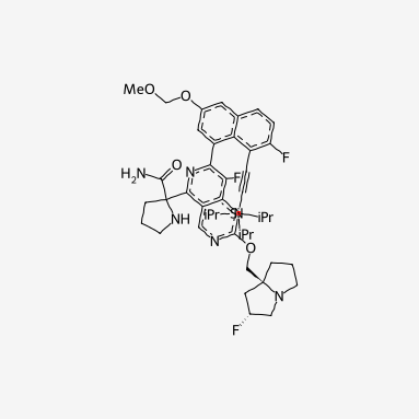 COCOc1cc(-c2nc(C3(C(N)=O)CCCN3)c3cnc(OC[C@@]45CCCN4C[C@H](F)C5)nc3c2F)c2c(C#C[Si](C(C)C)(C(C)C)C(C)C)c(F)ccc2c1